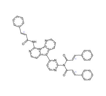 O=C(/C=C/c1ccccc1)Nc1nccc2c(-c3ccnc(N(C(=O)/C=C/c4ccccc4)C(=O)/C=C/c4ccccc4)n3)c3cccnc3n12